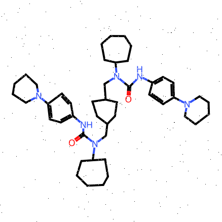 O=C(Nc1ccc(N2CCCCC2)cc1)N(CC1CCC(CN(C(=O)Nc2ccc(N3CCCCC3)cc2)C2CCCCCC2)CC1)C1CCCCCC1